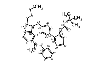 CCCCc1nc2ccc(N(C)Cc3ccccc3)cc2n1Cc1ccc(-c2ccccc2OC(=O)OC(C)(C)C)cc1